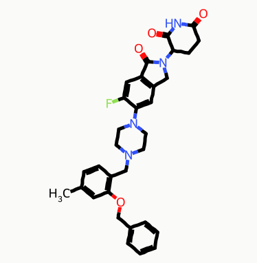 Cc1ccc(CN2CCN(c3cc4c(cc3F)C(=O)N(C3CCC(=O)NC3=O)C4)CC2)c(OCc2ccccc2)c1